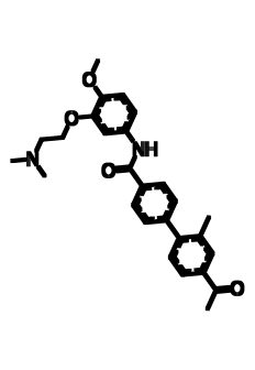 COc1ccc(NC(=O)c2ccc(-c3ccc(C(C)=O)cc3C)cc2)cc1OCCN(C)C